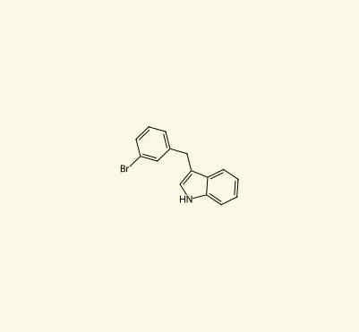 Brc1cccc(Cc2c[nH]c3ccccc23)c1